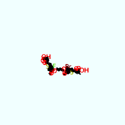 COc1cc2sc(C(=O)C[C@H](C)C(=O)O)cc2c(F)c1OCCCCOc1c(OC)cc2sc(C(=O)C[C@H](C)C(=O)O)cc2c1Br